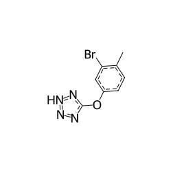 Cc1ccc(Oc2nn[nH]n2)cc1Br